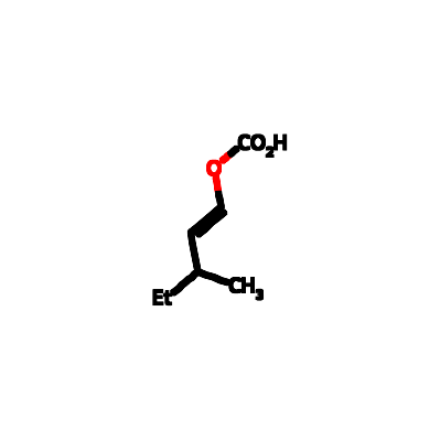 CCC(C)C=COC(=O)O